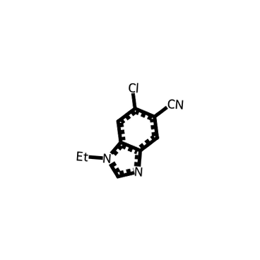 CCn1cnc2cc(C#N)c(Cl)cc21